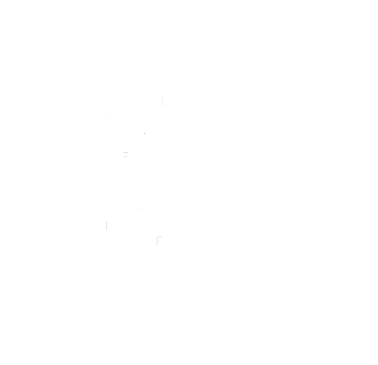 FC(F)(F)[C]1C2CCCCC2CCC1C(F)(F)F